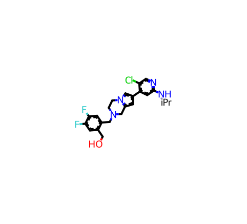 CC(C)Nc1cc(-c2cc3n(c2)CCN(Cc2cc(F)c(F)cc2CO)C3)c(Cl)cn1